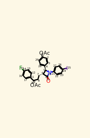 CC(=O)Oc1ccc([C@@H]2[C@@H](CC[C@H](OC(C)=O)c3ccc(F)cc3)C(=O)N2c2ccc(I)cc2)cc1